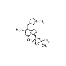 Cc1cc(C)c2c(ccn2C(=O)OC(C)(C)C)c1C[C@H]1CCN(C)C1